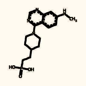 CNc1ccc2c(N3CCC(CCP(=O)(O)O)CC3)ncnc2c1